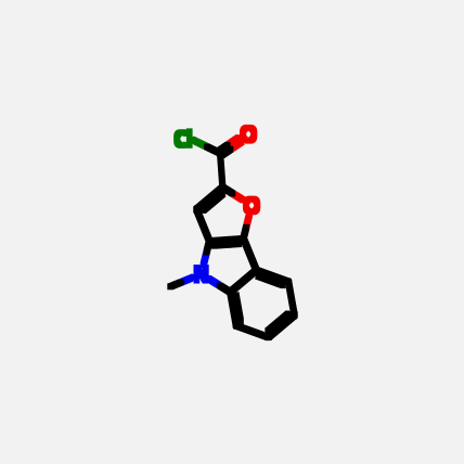 Cn1c2ccccc2c2oc(C(=O)Cl)cc21